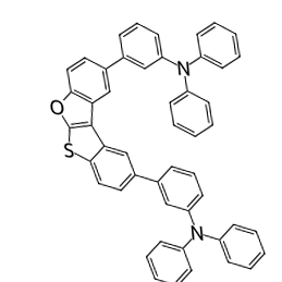 c1ccc(N(c2ccccc2)c2cccc(-c3ccc4oc5sc6ccc(-c7cccc(N(c8ccccc8)c8ccccc8)c7)cc6c5c4c3)c2)cc1